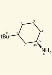 CC(C)(C)C1CCC[C@@H](N)C1